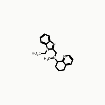 CN(Cc1nc2ccccc2n1CC(=O)O)C1CCCc2cccnc21